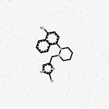 CCc1nc(CN2CCCCN2c2ccc(C#N)c3ccccc23)c[nH]1